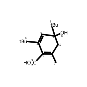 CC1=C(C(=O)O)C(C(C)(C)C)=CC(O)(C(C)(C)C)C1